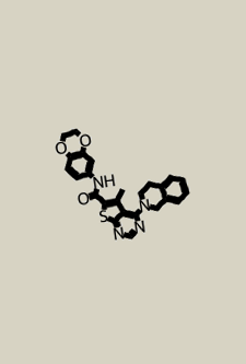 Cc1c(C(=O)Nc2ccc3c(c2)OCCO3)sc2ncnc(N3CCc4ccccc4C3)c12